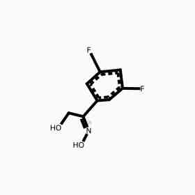 OC/C(=N\O)c1cc(F)cc(F)c1